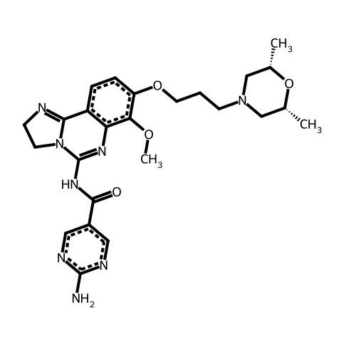 COc1c(OCCCN2C[C@@H](C)O[C@@H](C)C2)ccc2c1N=C(NC(=O)c1cnc(N)nc1)N1CCN=C21